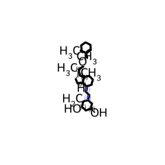 C=C1/C(=C\C=C2/CCC[C@]3(C)[C@@H]([C@H](C)COCC4=CCCCC4(C)C)CC[C@@H]23)C[C@@H](O)C[C@@H]1O